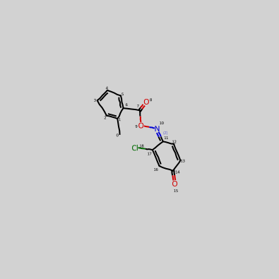 Cc1ccccc1C(=O)O/N=C1/C=CC(=O)C=C1Cl